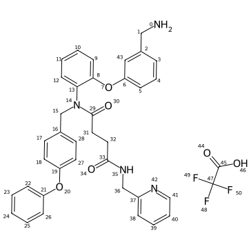 NCc1cccc(Oc2ccccc2N(Cc2ccc(Oc3ccccc3)cc2)C(=O)CCC(=O)NCc2ccccn2)c1.O=C(O)C(F)(F)F